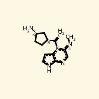 C=C([C@H]1CC[C@H](N)C1)n1/c(=N\C)cnc2[nH]ccc21